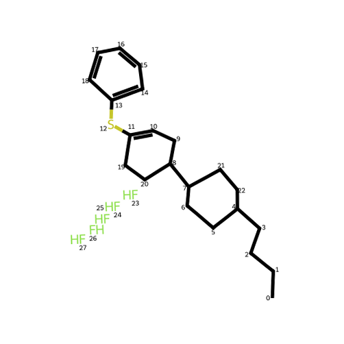 CCCCC1CCC(C2CC=C(Sc3ccccc3)CC2)CC1.F.F.F.F.F